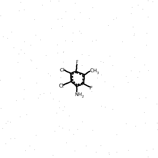 Cc1c(F)c(N)c(Cl)c(Cl)c1F